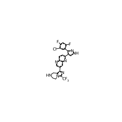 Fc1cc(F)c(-c2n[nH]cc2-c2ccc3ncc(-c4nc(C(F)(F)F)n5c4CNCC5)cc3n2)cc1Cl